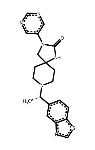 C[C@@H](c1ccc2scnc2c1)N1CCC2(CC1)CN(c1cncnc1)C(=O)N2